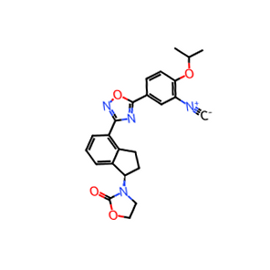 [C-]#[N+]c1cc(-c2nc(-c3cccc4c3CC[C@H]4N3CCOC3=O)no2)ccc1OC(C)C